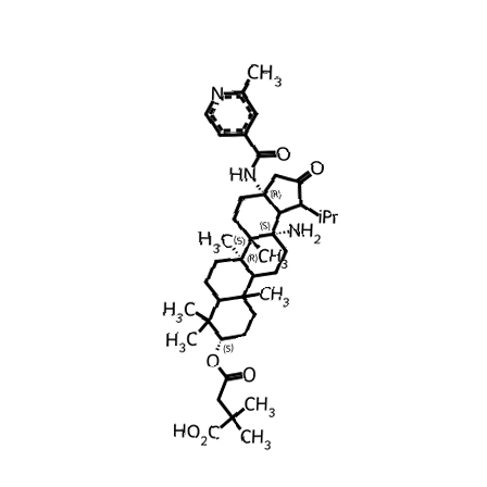 Cc1cc(C(=O)N[C@@]23CC[C@@]4(C)[C@]5(C)CCC6C(C)(CC[C@H](OC(=O)CC(C)(C)C(=O)O)C6(C)C)C5CC[C@]4(N)C2C(C(C)C)C(=O)C3)ccn1